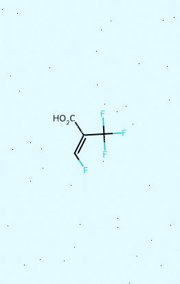 O=C(O)C(=CF)C(F)(F)F